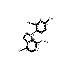 COc1ncc(Br)c2cnn(-c3ccc(F)cc3F)c12